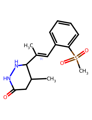 C/C(=C\c1ccccc1S(C)(=O)=O)C1NNC(=O)CC1C